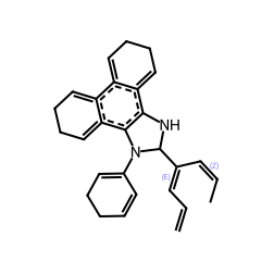 C=C/C=C(\C=C/C)C1Nc2c(c3c(c4c2=CCCC=4)=CCCC=3)N1C1=CCCC=C1